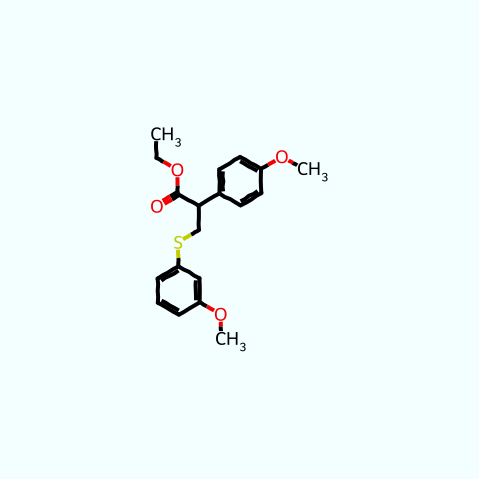 CCOC(=O)C(CSc1cccc(OC)c1)c1ccc(OC)cc1